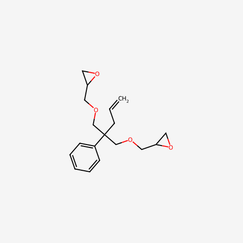 C=CCC(COCC1CO1)(COCC1CO1)c1ccccc1